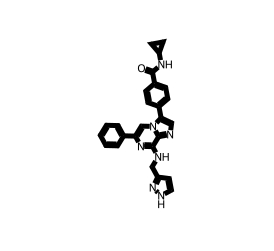 O=C(NC1CC1)c1ccc(-c2cnc3c(NCc4cc[nH]n4)nc(-c4ccccc4)cn23)cc1